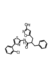 O=C(Nc1nc(-c2ccccc2Cl)cs1)C(Cc1ccccc1)Cc1cc(O)no1